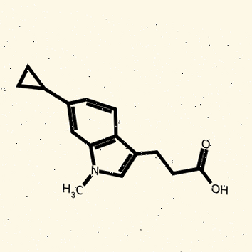 Cn1cc(CCC(=O)O)c2ccc(C3CC3)cc21